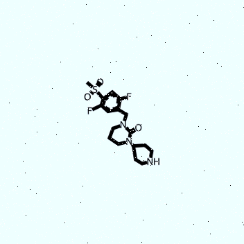 CS(=O)(=O)c1cc(F)c(CN2CCCN(C3CCNCC3)C2=O)cc1F